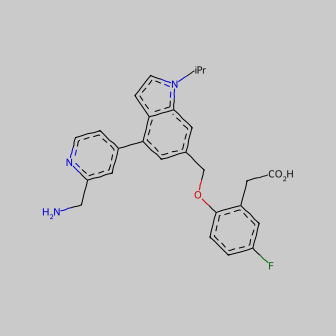 CC(C)n1ccc2c(-c3ccnc(CN)c3)cc(COc3ccc(F)cc3CC(=O)O)cc21